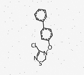 ClC1=NSCN1Oc1ccc(-c2ccccc2)cc1